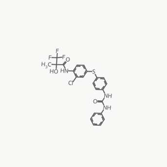 CC(O)(C(=O)Nc1ccc(Sc2ccc(NC(=O)Nc3ccccc3)cc2)cc1Cl)C(F)(F)F